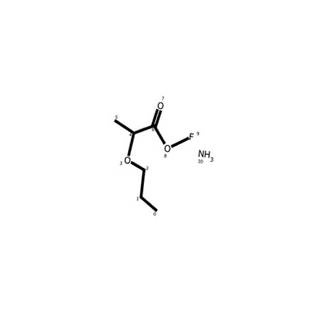 CCCOC(C)C(=O)OF.N